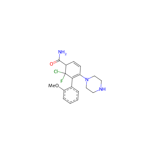 COc1ccccc1C1=C(N2CCNCC2)C=CC(C(N)=O)C1(F)Cl